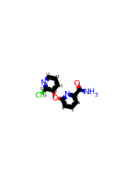 NC(=O)c1[c]ccc(Oc2cccnc2Cl)n1